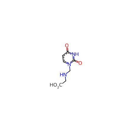 O=C(O)CNCn1ccc(=O)[nH]c1=O